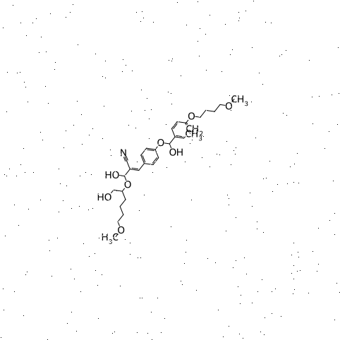 C=C(/C=C\C(=C/C)C(O)Oc1ccc(/C=C(\C#N)C(O)OC(CO)CCCCOC)cc1)OCCCCOC